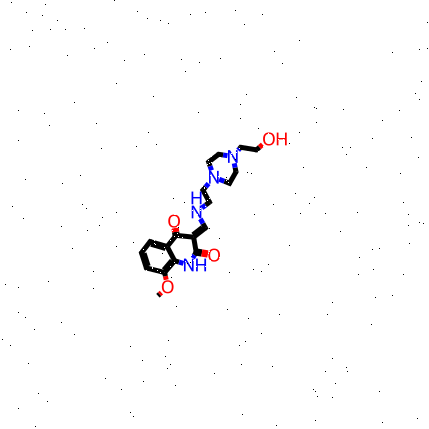 COc1cccc2c1NC(=O)/C(=C/NCCN1CCN(CCO)CC1)C2=O